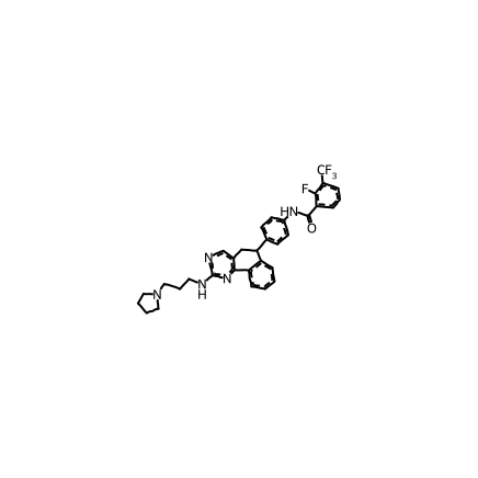 O=C(Nc1ccc(C2Cc3cnc(NCCCN4CCCC4)nc3-c3ccccc32)cc1)c1cccc(C(F)(F)F)c1F